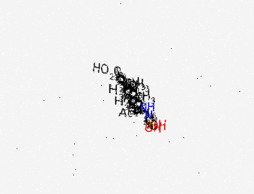 CC(=O)[C@@H]1CC[C@]2(NCCN3CCS(O)(O)CC3)CC[C@]3(C)[C@H](CC[C@@H]4[C@@]5(C)CC=C(c6ccc(C(=O)O)cc6)C(C)(C)[C@@H]5CC[C@]43C)[C@@H]12